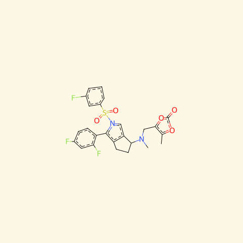 Cc1oc(=O)oc1CN(C)C1CCc2c1cn(S(=O)(=O)c1cccc(F)c1)c2-c1ccc(F)cc1F